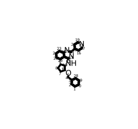 c1ccc(CO[C@H]2CCC[C@@H]2Nc2nc(-c3ccncc3)nc3ccccc23)cc1